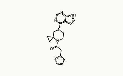 O=C(Cc1cccs1)N1CCN(c2ncnc3[nH]ccc23)CC12CC2